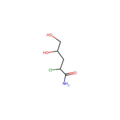 NC(=O)C(Cl)CC(O)CO